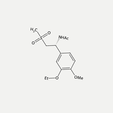 CCOc1cc([C@H](CS(C)(=O)=O)NC(C)=O)ccc1OC